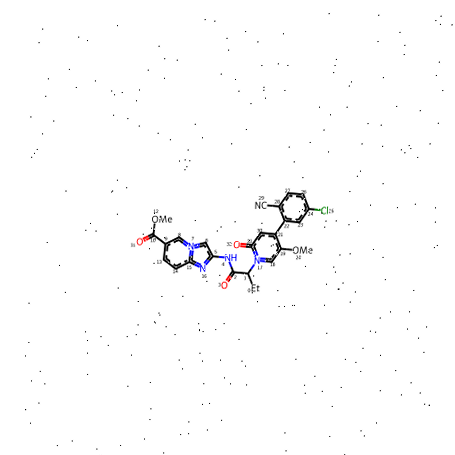 CCC(C(=O)Nc1cn2cc(C(=O)OC)ccc2n1)n1cc(OC)c(-c2cc(Cl)ccc2C#N)cc1=O